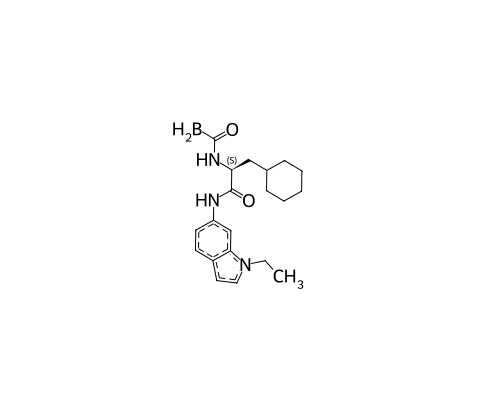 BC(=O)N[C@@H](CC1CCCCC1)C(=O)Nc1ccc2ccn(CC)c2c1